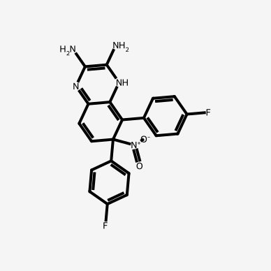 NC1=C(N)NC2=C(c3ccc(F)cc3)C(c3ccc(F)cc3)([N+](=O)[O-])C=CC2=N1